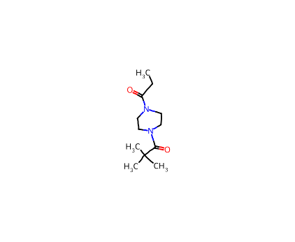 CCC(=O)N1CCN(C(=O)C(C)(C)C)CC1